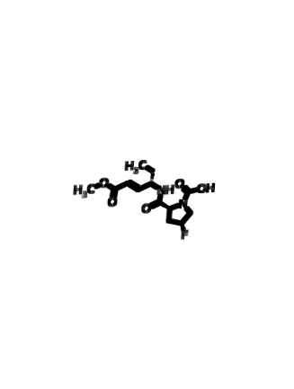 CC[C@@H](/C=C/C(=O)OC)NC(=O)[C@@H]1C[C@H](F)CN1C(=O)O